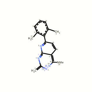 C=C(N)/N=C1/N=C(c2c(C)cccc2C)C=C/C1=C(/N)NC